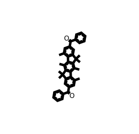 Cc1cc(C(=O)c2ccccc2)cc2c1-c1c(C)c3c(c(C)c1C2(C)C)-c1c(C)cc(C(=O)c2ccccc2)cc1C3(C)C